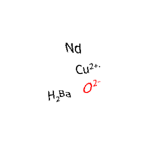 [BaH2].[Cu+2].[Nd].[O-2]